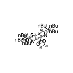 CCC[CH2][Sn]([CH2]CCC)([CH2]CCC)[c]1nc2c(s1)-c1s[c]([Sn]([CH2]CCC)([CH2]CCC)[CH2]CCC)nc1C21OCCO1